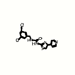 O=C(NCc1cc(Cl)cc(Cl)c1)NC1=NC(c2ccncc2)CS1